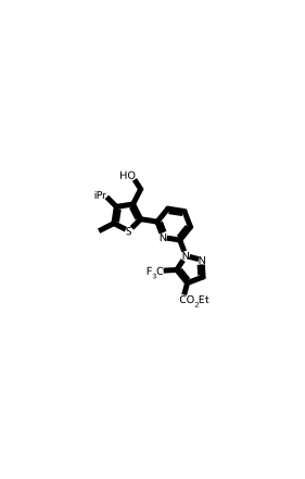 CCOC(=O)c1cnn(-c2cccc(-c3sc(C)c(C(C)C)c3CO)n2)c1C(F)(F)F